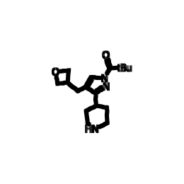 CC(C)(C)C(=O)n1cc(CC2COC2)c(C2CCNCC2)n1